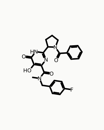 CN(Cc1ccc(F)cc1)C(=O)c1nc(C2CCCN2C(=O)c2ccccc2)[nH]c(=O)c1O